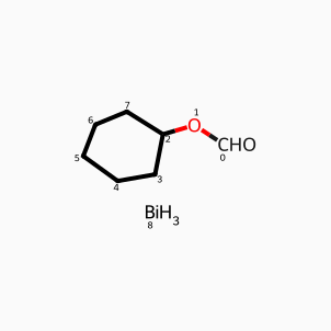 O=COC1CCCCC1.[BiH3]